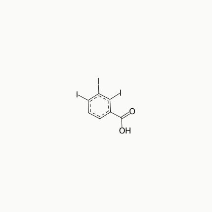 O=C(O)c1ccc(I)c(I)c1I